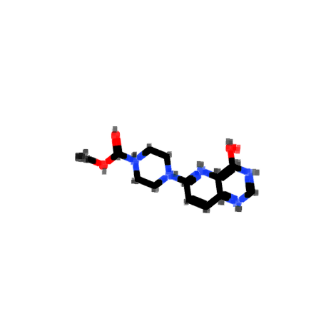 CC(C)(C)OC(=O)N1CCN(c2ccc3ncnc(O)c3n2)CC1